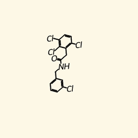 O=C(Cc1c(Cl)ccc(Cl)c1Cl)NCc1cccc(Cl)c1